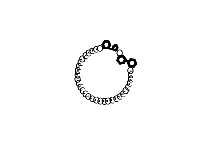 c1ccc2c(c1)OCCCCOCCCCOCCCCOCCCCOCCCCOCCCCOc1ccccc1-c1ccccc1Oc1ccccc1-2